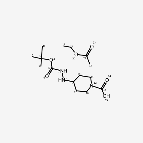 CC(C)(C)OC(=O)NNC1CCN(C(=O)O)CC1.CCOC(C)=O